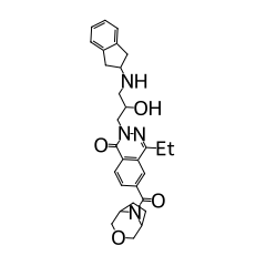 CCc1nn(CC(O)CNC2Cc3ccccc3C2)c(=O)c2ccc(C(=O)N3C4CCC3COC4)cc12